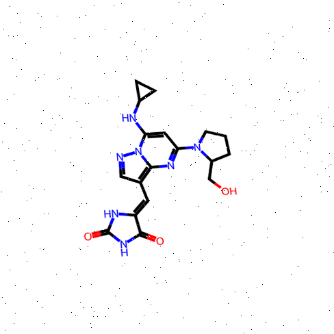 O=C1NC(=O)/C(=C/c2cnn3c(NC4CC4)cc(N4CCCC4CO)nc23)N1